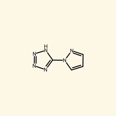 c1cnn(-c2nnn[nH]2)c1